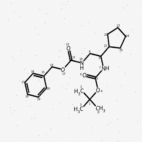 CC(C)(C)OC(=O)NC(CNC(=O)OCc1ccccc1)C1CCCC1